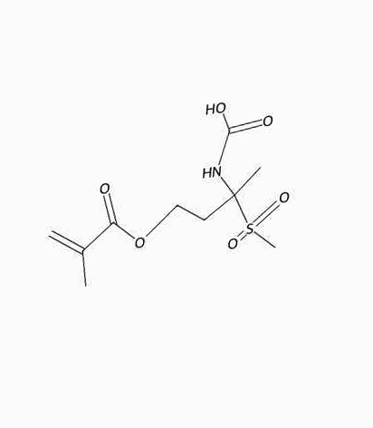 C=C(C)C(=O)OCCC(C)(NC(=O)O)S(C)(=O)=O